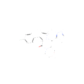 Cc1c(-c2ccc(Cl)cc2)c(C(=O)N2CCOCC2)n(Cc2nncs2)c1C